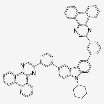 c1cc(-c2ccc3c(c2)c2cc(-c4cccc(-c5cnc6c7ccccc7c7ccccc7c6n5)c4)ccc2n3C2CCCCC2)cc(-c2cnc3c4ccccc4c4ccccc4c3n2)c1